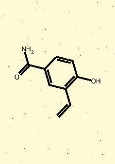 C=Cc1cc(C(N)=O)ccc1O